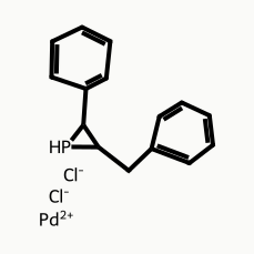 [Cl-].[Cl-].[Pd+2].c1ccc(CC2PC2c2ccccc2)cc1